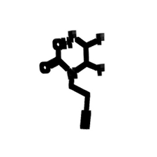 C#CCCN(C(=O)O)C(F)C(F)F